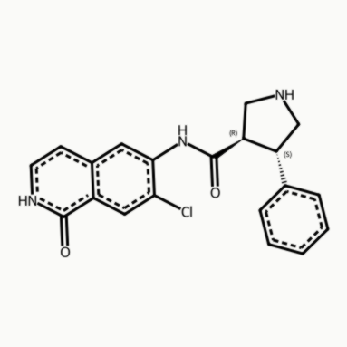 O=C(Nc1cc2cc[nH]c(=O)c2cc1Cl)[C@H]1CNC[C@@H]1c1ccccc1